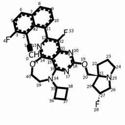 C#Cc1c(F)ccc2cccc(-c3nc4c5c(nc(OC[C@@]67CCCN6C[C@H](F)C7)nc5c3F)N(C3CCC3)CCO4)c12